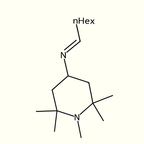 CCCCCC/C=N/C1CC(C)(C)N(C)C(C)(C)C1